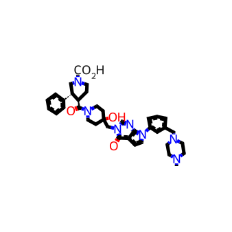 CN1CCN(Cc2cccc(-n3ccc4c(=O)n(CC5(O)CCN(C(=O)[C@@H]6CCN(C(=O)O)C[C@H]6c6ccccc6)CC5)cnc43)c2)CC1